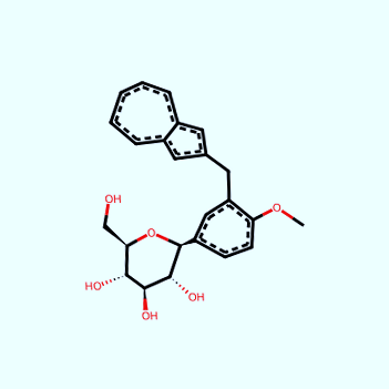 COc1ccc([C@@H]2O[C@H](CO)[C@@H](O)[C@H](O)[C@H]2O)cc1Cc1cc2cccccc-2c1